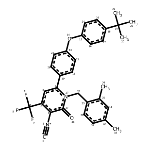 [C-]#[N+]c1c(C(F)(F)F)cc(-c2ccc(Oc3ccc(C(C)(C)C)cc3)cc2)n(Cc2ccc(C)cc2C)c1=O